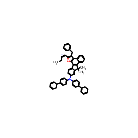 CC/C=C\c1oc2c3c(c4ccccc4c2c1Cc1ccccc1)C(C)(C)c1cc(N(c2ccc(C4=CC=CCC4)cc2)c2ccc(C4C=CC=CC4)cc2)ccc1-3